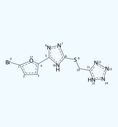 Brc1ccc(-c2nnc(SCc3nnn[nH]3)[nH]2)o1